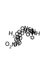 CCOc1nc2cccc(C(=O)O[C@H](C)OC(=O)OC3CO[C@H]4[C@@H]3OC[C@H]4O[N+](=O)[O-])c2n1Cc1ccc(-c2ccccc2-c2nnn[nH]2)cc1